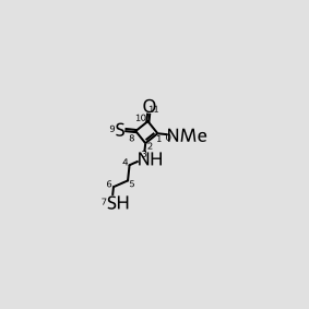 CNc1c(NCCCS)c(=S)c1=O